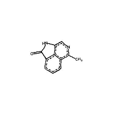 Cc1ncc2c3c(cccc13)C(=O)N2